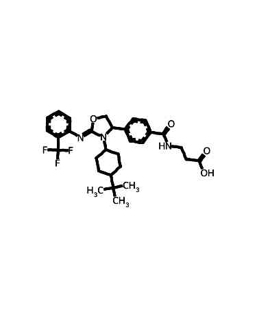 CC(C)(C)C1CCC(N2/C(=N/c3ccccc3C(F)(F)F)OCC2c2ccc(C(=O)NCCC(=O)O)cc2)CC1